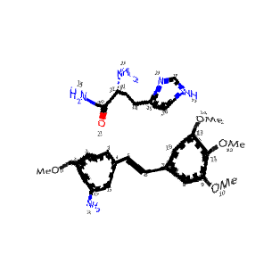 COc1ccc(C=Cc2cc(OC)c(OC)c(OC)c2)cc1N.NC(=O)[C@H](N)Cc1c[nH]cn1